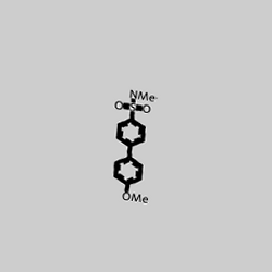 C[N]S(=O)(=O)c1ccc(-c2ccc(OC)cc2)cc1